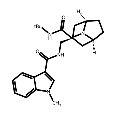 Cn1cc(C(=O)NC[C@H]2C[C@H]3CC[C@@H](C2)N3CC(=O)NC(C)(C)C)c2ccccc21